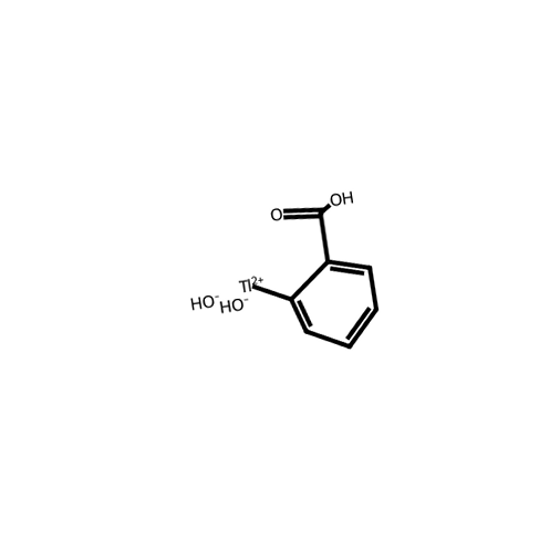 O=C(O)c1cccc[c]1[Tl+2].[OH-].[OH-]